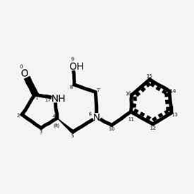 O=C1CC[C@H](CN(CCO)Cc2ccccc2)N1